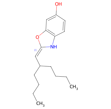 CCCCC(/C=C1\Nc2ccc(O)cc2O1)CCCC